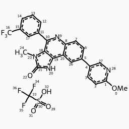 COc1ccc(-c2ccc3nc(-c4cccc(C(F)(F)F)c4)c4c([nH]c(=O)n4C)c3c2)cn1.O=S(=O)(O)C(F)(F)F